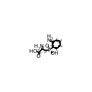 Nc1ccccc1P(=O)(O)C[C@H](N)C(=O)O